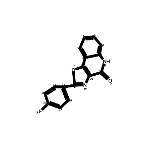 O=c1[nH]c2ccccc2c2oc(-c3ccc(F)cc3)nc12